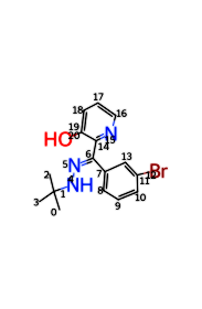 CC(C)(C)N/N=C(\c1cccc(Br)c1)c1ncccc1O